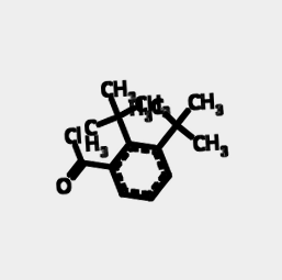 CC(C)(C)c1cccc(C(=O)Cl)c1C(C)(C)C